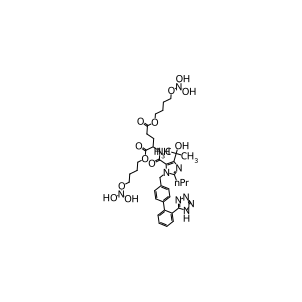 CCCc1nc(C(C)(C)O)c(C(=O)NC(CCC(=O)OCCCCON(O)O)C(=O)OCCCCON(O)O)n1Cc1ccc(-c2ccccc2-c2nnn[nH]2)cc1